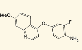 COc1ccc2c(Oc3ccc(N)c(F)c3)ccnc2c1